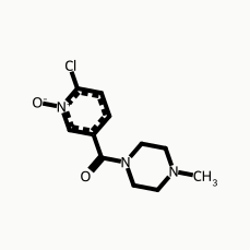 CN1CCN(C(=O)c2ccc(Cl)[n+]([O-])c2)CC1